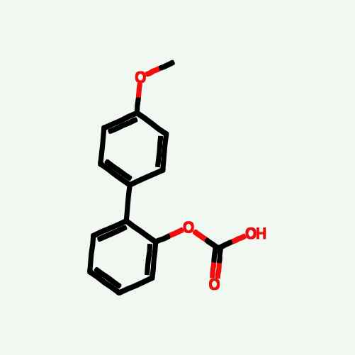 COc1ccc(-c2ccccc2OC(=O)O)cc1